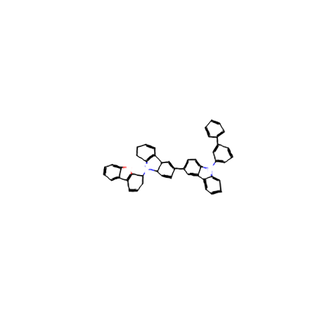 C1=CC2=C(CC1)N(C1CC=Cc3c1oc1ccccc31)C1C=CC(c3ccc4c(c3)c3ccccc3n4-c3cccc(-c4ccccc4)c3)=CC21